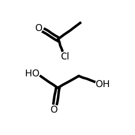 CC(=O)Cl.O=C(O)CO